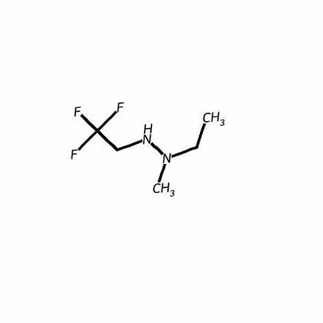 CCN(C)NCC(F)(F)F